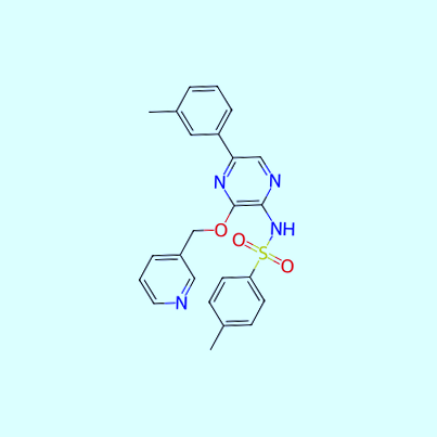 Cc1ccc(S(=O)(=O)Nc2ncc(-c3cccc(C)c3)nc2OCc2cccnc2)cc1